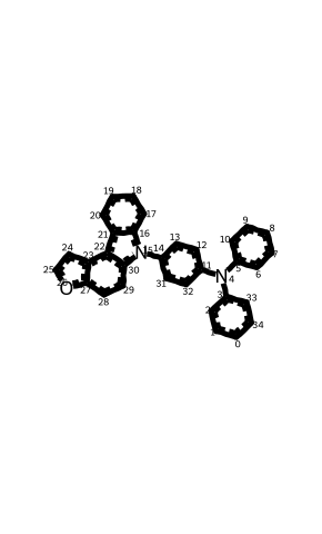 c1ccc(N(c2ccccc2)c2ccc(-n3c4ccccc4c4c5ccoc5ccc43)cc2)cc1